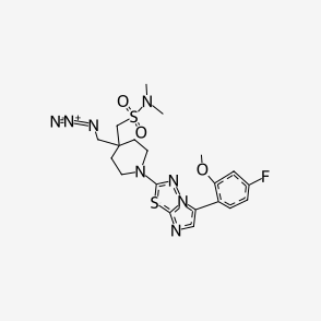 COc1cc(F)ccc1-c1cnc2sc(N3CCC(CN=[N+]=[N-])(CS(=O)(=O)N(C)C)CC3)nn12